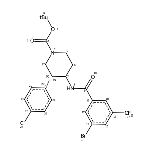 CC(C)(C)OC(=O)N1CCC(NC(=O)c2cc(Br)cc(C(F)(F)F)c2)[C@H](c2ccc(Cl)cc2)C1